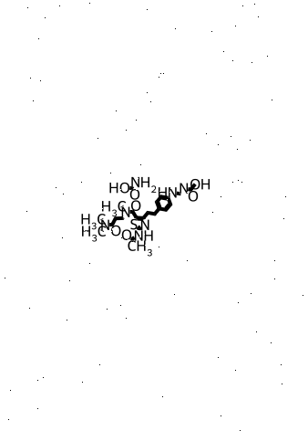 CC(=O)Nc1nc(CCc2ccc(NC=NC(=O)O)cc2)c(C(=O)N(C)CCC(=O)N(C)C)s1.NC(=O)O